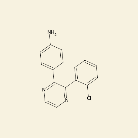 Nc1ccc(-c2nccnc2-c2ccccc2Cl)cc1